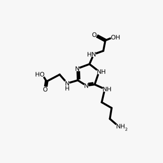 NCCCNC1=NC(NCC(=O)O)=NC(NCC(=O)O)N1